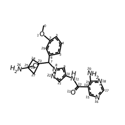 COc1cccc(C(n2cc(NC(=O)c3cncnc3N)cn2)C23CC(N)(C2)C3)c1